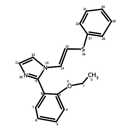 CCOc1ccccc1-c1nccn1C=CSc1ccccc1